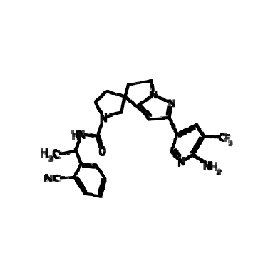 CC(NC(=O)N1CCC2(CCn3nc(-c4cnc(N)c(C(F)(F)F)c4)cc32)C1)c1ccccc1C#N